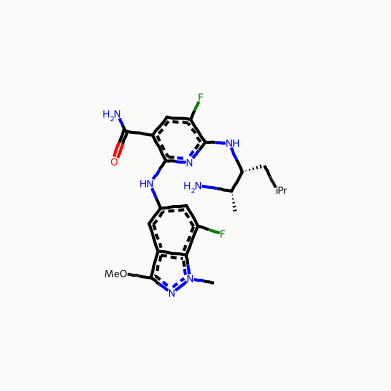 COc1nn(C)c2c(F)cc(Nc3nc(N[C@H](CC(C)C)[C@H](C)N)c(F)cc3C(N)=O)cc12